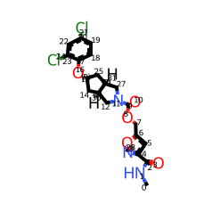 CNC(=O)c1cc(COC(=O)N2C[C@H]3C[C@@H](Oc4ccc(Cl)cc4Cl)C[C@H]3C2)on1